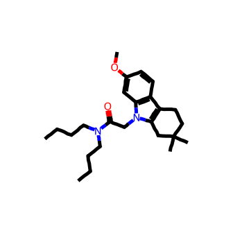 CCCCN(CCCC)C(=O)Cn1c2c(c3ccc(OC)cc31)CCC(C)(C)C2